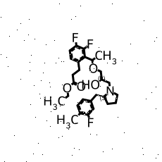 CCOC(=O)CCc1ccc(F)c(F)c1C(C)OC[C@H](O)CN1CCC[C@H]1Cc1ccc(C)c(F)c1